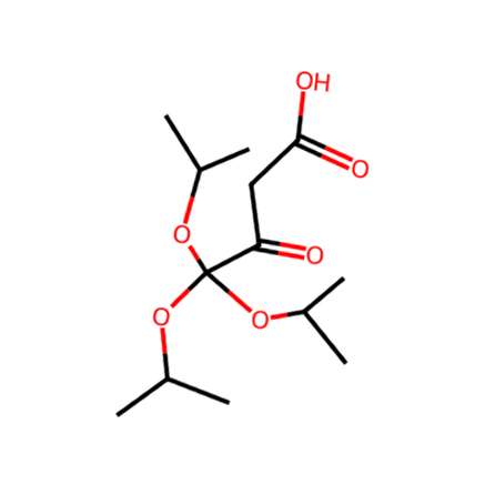 CC(C)OC(OC(C)C)(OC(C)C)C(=O)CC(=O)O